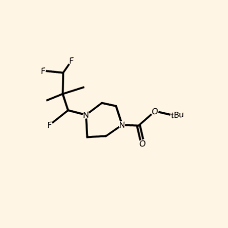 CC(C)(C)OC(=O)N1CCN(C(F)C(C)(C)C(F)F)CC1